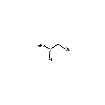 CCCCN(CC)CC(C)CC